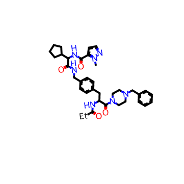 CCC(=O)NC(Cc1ccc(CNC(=O)C(NC(=O)c2ccnn2C)C2CCCC2)cc1)C(=O)N1CCN(Cc2ccccc2)CC1